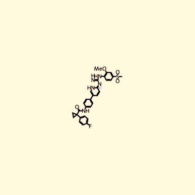 COc1cc(S(C)(=O)=O)ccc1NC(=N)/N=c1/ccc(-c2ccc(NC(=O)C3(c4ccc(F)cc4)CC3)cc2)c[nH]1